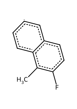 Cc1c(F)ccc2c[c]ccc12